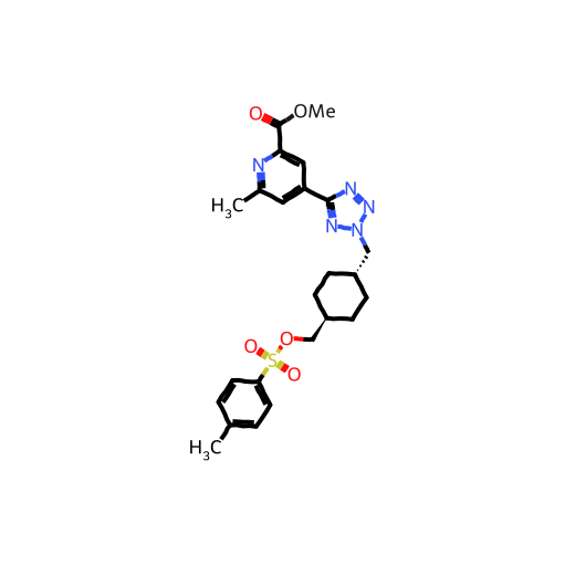 COC(=O)c1cc(-c2nnn(C[C@H]3CC[C@H](COS(=O)(=O)c4ccc(C)cc4)CC3)n2)cc(C)n1